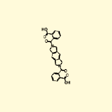 O=C(O)c1ccccc1C(=O)N1Cc2cc3c(cc2C1)CN(C(=O)c1ccccc1C(=O)O)C3